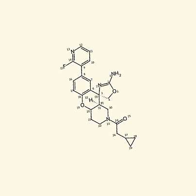 NC1=N[C@]2(CO1)c1cc(-c3cccnc3F)ccc1OC1CCN(C(=O)CC3CC3)C[C@@H]12